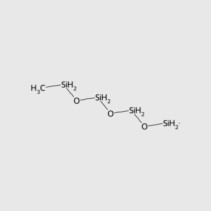 C[SiH2]O[SiH2]O[SiH2]O[SiH2]